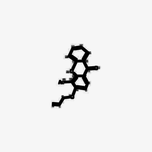 C=CCOc1ccc2c(=O)c3ccccc3oc2c1C(C)=O